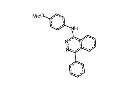 COc1ccc(Nc2nnc(-c3ccccc3)c3ccccc23)cc1